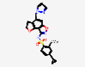 COc1cc(C2CC2)ccc1S(=O)(=O)Nc1noc2cc(Cn3cccn3)c3c(c12)OCC3